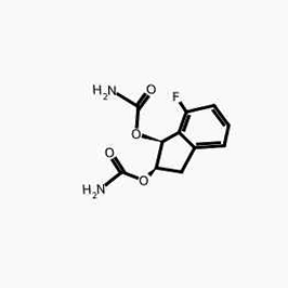 NC(=O)O[C@@H]1Cc2cccc(F)c2[C@@H]1OC(N)=O